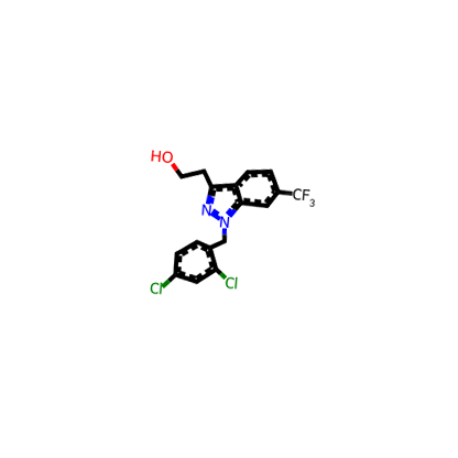 OCCc1nn(Cc2ccc(Cl)cc2Cl)c2cc(C(F)(F)F)ccc12